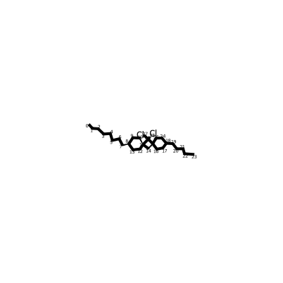 CCCCCCCC[C@H]1CC[C@]2(CC1)C[C@@]1(CCC(CCCCC)CC1)C2(Cl)Cl